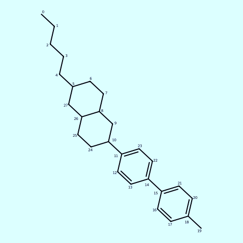 CCCCCC1CCC2CC(c3ccc(-c4ccc(C)cc4)cc3)CCC2C1